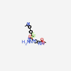 CCOC(=O)C1CC2(CCN(c3cc(O[C@H](c4ccc(-c5ccc6c(c5)c(C)cn6C)cc4)C(F)(F)F)nc(N)n3)CC2)CN1